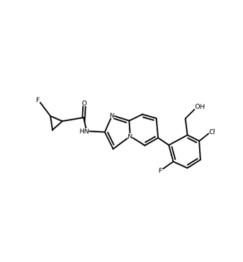 O=C(Nc1cn2cc(-c3c(F)ccc(Cl)c3CO)ccc2n1)C1CC1F